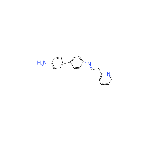 Nc1ccc(-c2ccc(N=CCc3ccccn3)cc2)cc1